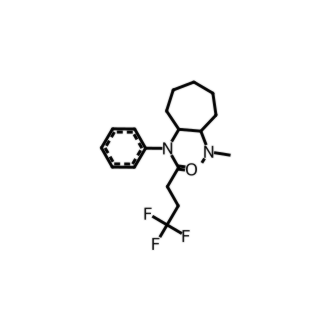 CN(C)C1CCCCCC1N(C(=O)CCC(F)(F)F)c1ccccc1